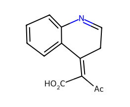 CC(=O)C(C(=O)O)=C1CC=Nc2ccccc21